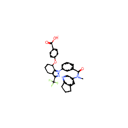 CN(C(=O)c1cccc(-n2nc(C(F)(F)F)c3c2C(Oc2ccc(C(=O)O)cc2)CCC3)c1)c1cnc2c(c1)CCC2